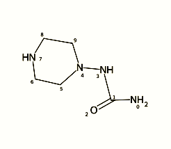 NC(=O)NN1CCNCC1